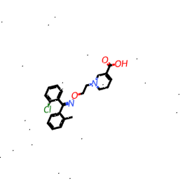 Cc1ccccc1C(=NOCCN1CCC=C(C(=O)O)C1)c1ccccc1Cl